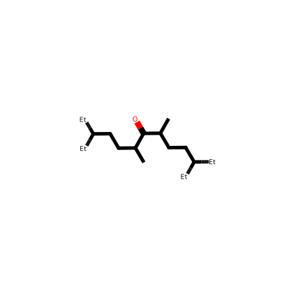 CCC(CC)CCC(C)C(=O)C(C)CCC(CC)CC